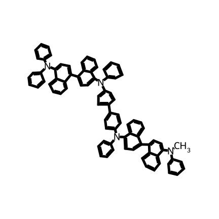 CN(c1ccccc1)c1ccc(-c2ccc(N(c3ccccc3)c3ccc(-c4ccc(N(c5ccccc5)c5ccc(-c6ccc(N(c7ccccc7)c7ccccc7)c7ccccc67)c6ccccc56)cc4)cc3)c3ccccc23)c2ccccc12